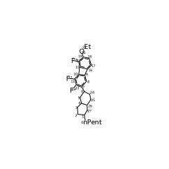 CCCCCC1CCC2CC(c3cc4c(c(F)c3F)-c3c-4ccc(OCC)c3F)CCC2C1